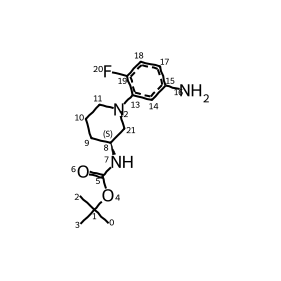 CC(C)(C)OC(=O)N[C@H]1CCCN(c2cc(N)ccc2F)C1